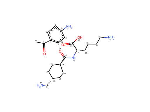 CC(=O)c1ccc(N)cc1.NCCCC[C@H](NC(=O)[C@H]1CC[C@H](CN)CC1)C(=O)O